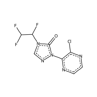 O=c1n(C(F)C(F)F)cnn1-c1nccnc1Cl